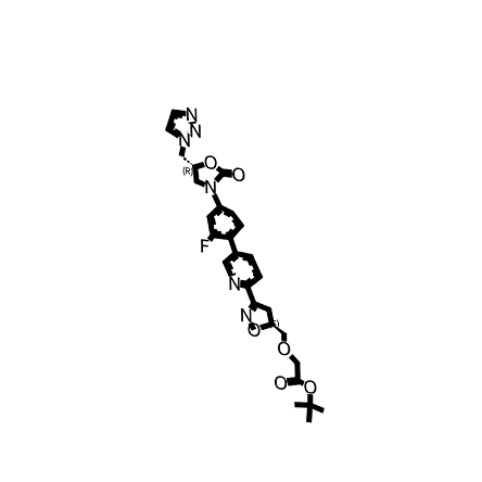 CC(C)(C)OC(=O)COC[C@@H]1CC(c2ccc(-c3ccc(N4C[C@H](Cn5ccnn5)OC4=O)cc3F)cn2)=NO1